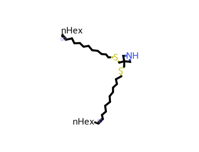 CCCCCC/C=C\CCCCCCCCCCSCC1(CSCCCCCCCCCC/C=C\CCCCCC)CNC1